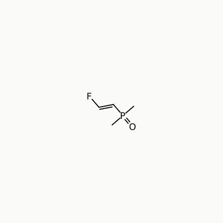 CP(C)(=O)C=CF